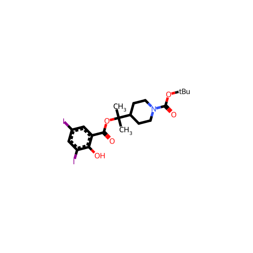 CC(C)(C)OC(=O)N1CCC(C(C)(C)OC(=O)c2cc(I)cc(I)c2O)CC1